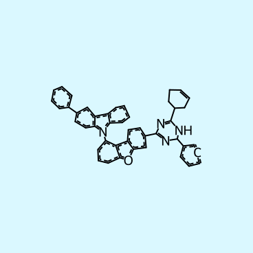 C1=CCC(C2=NC(c3ccc4c(c3)oc3cccc(-n5c6ccccc6c6cc(-c7ccccc7)ccc65)c34)=NC(c3ccccc3)N2)CC1